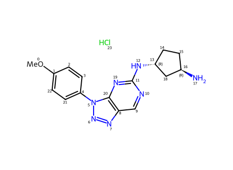 COc1ccc(-n2nnc3cnc(N[C@@H]4CC[C@@H](N)C4)nc32)cc1.Cl